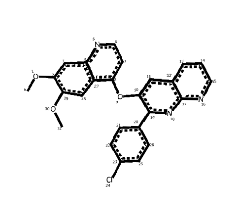 COc1cc2nccc(Oc3cc4cccnc4nc3-c3ccc(Cl)cc3)c2cc1OC